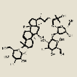 CC[C@@]12CCC([C@H](C)CC[C@@H](O[C@@H]3O[C@H](CO)[C@@H](O)[C@H](O)[C@H]3O[C@H]3O[C@@H](CO)[C@H](O)[C@@H](O)[C@@H]3O)C(C)(C)O)[C@@]1(C)C[C@@H](O)[C@@]1(C)C3CC[C@H](O[C@@H]4O[C@H](CO)[C@@H](O)[C@H](O)[C@H]4O)C(C)(C)C3=CCC12